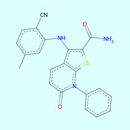 Cc1ccc(C#N)c(Nc2c(C(N)=O)sc3c2ccc(=O)n3-c2ccccc2)c1